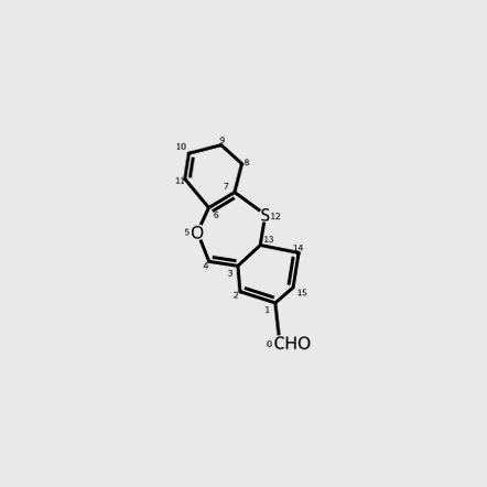 O=CC1=CC2=COC3=C(CCC=C3)SC2C=C1